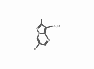 CCOC(=O)c1c(C)nn2cc(Br)cnc12